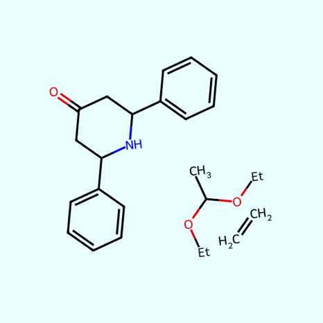 C=C.CCOC(C)OCC.O=C1CC(c2ccccc2)NC(c2ccccc2)C1